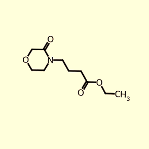 CCOC(=O)CCCN1CCOCC1=O